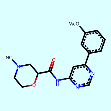 COc1cccc(-c2cc(NC(=O)C3CN(C#N)CCO3)ncn2)c1